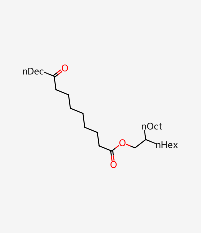 CCCCCCCCCCC(=O)CCCCCCCC(=O)OCC(CCCCCC)CCCCCCCC